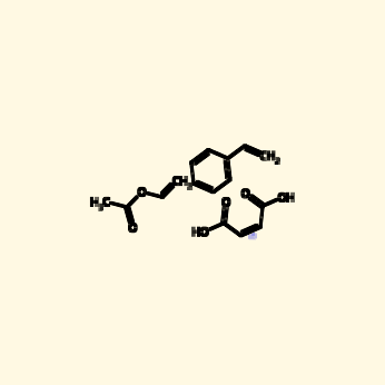 C=COC(C)=O.C=Cc1ccccc1.O=C(O)/C=C\C(=O)O